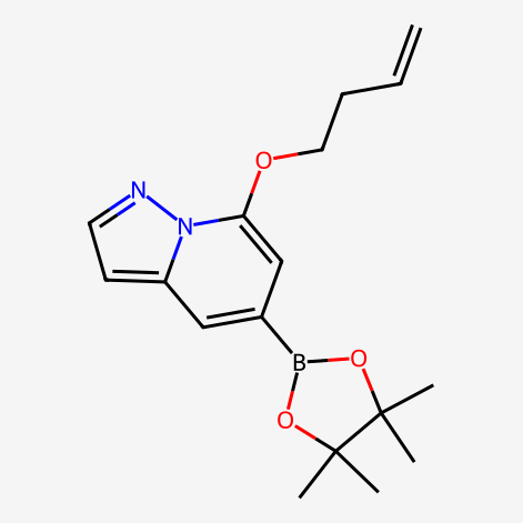 C=CCCOc1cc(B2OC(C)(C)C(C)(C)O2)cc2ccnn12